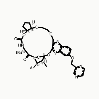 CC(=O)[C@@H]1[C@H](C)[C@@H]2CN1C(=O)[C@H](C(C)(C)C)NC(=O)O[C@@H]1CCC[C@H]1CCCCCc1nc3ccc(OCc4cnccn4)cc3nc1O2